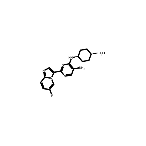 CCOC(=O)[C@H]1CC[C@@H](Nc2nc(-c3cnc4ccc(F)cn34)ncc2N)CC1